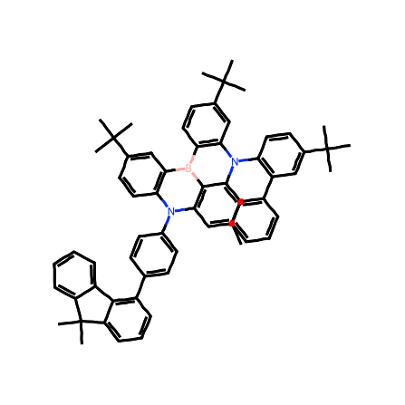 Cc1cc2c3c(c1)N(c1ccc(C(C)(C)C)cc1-c1ccccc1)c1cc(C(C)(C)C)ccc1B3c1cc(C(C)(C)C)ccc1N2c1ccc(-c2cccc3c2-c2ccccc2C3(C)C)cc1